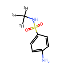 [2H]C([2H])([2H])NS(=O)(=O)c1ccc(N)cc1